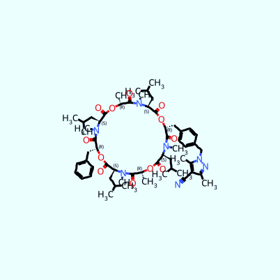 Cc1nn(Cc2ccc(C[C@H]3OC(=O)[C@H](CC(C)C)N(C)C(=O)[C@@H](C)OC(=O)[C@H](CC(C)C)N(C)C(=O)[C@@H](Cc4ccccc4)OC(=O)[C@H](CC(C)C)N(C)C(=O)[C@@H](C)OC(=O)[C@H](CC(C)C)N(C)C3=O)cc2)c(C)c1C#N